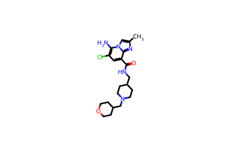 Cc1cn2c(N)c(Cl)cc(C(=O)NCC3CCN(CC4CCOCC4)CC3)c2n1